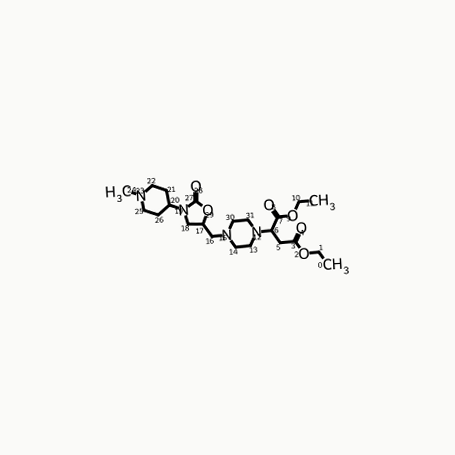 CCOC(=O)CC(C(=O)OCC)N1CCN(CC2CN(C3CCN(C)CC3)C(=O)O2)CC1